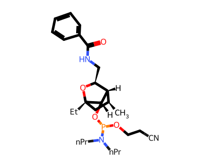 CCCN(CCC)P(OCCC#N)O[C@H]1[C@@H]2[C@H](CNC(=O)c3ccccc3)O[C@@]1(CC)C[C@@H]2C